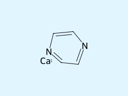 [Ca].c1cnccn1